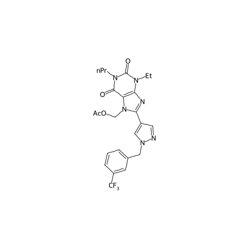 CCCn1c(=O)c2c(nc(-c3cnn(Cc4cccc(C(F)(F)F)c4)c3)n2COC(C)=O)n(CC)c1=O